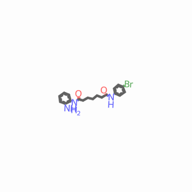 Nc1ccccc1NC(=O)CCCCCC(=O)Nc1ccc(Br)cc1